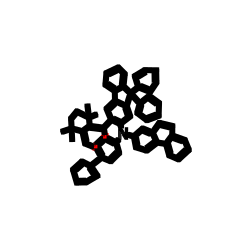 CC1(C)CCC(C)(C)c2c(-c3cc4c(cc3N(c3ccc(-c5ccccc5)cc3)c3ccc5c(ccc6ccccc65)c3)C(c3ccccc3)(c3ccccc3)c3ccccc3-4)cccc21